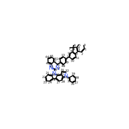 C/C=C\C1=C(C)C(C)(C)c2cc(-c3ccc(-c4nc(-n5c6ccccc6c6ccc7c(ccn7-c7ccccc7)c65)nc5ccccc45)cc3)ccc21